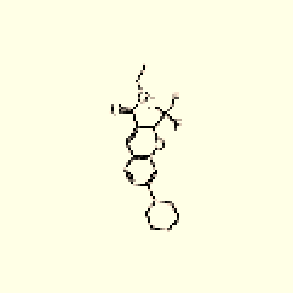 CCOC(=O)C1=Cc2ccc(C3CCCCC3)cc2OC1C(F)(F)F